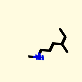 CCC(C)CCCNC